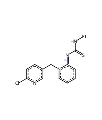 CCNC(=S)/N=c1\ccccn1Cc1ccc(Cl)nc1